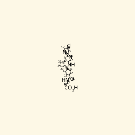 Cc1nn(-c2ccc(NC(c3ccc(C(=O)NCCC(=O)O)cc3)C3CCCC3)cn2)cc1Cl